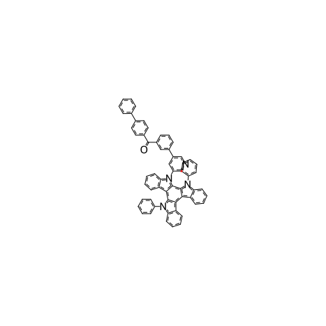 O=C(c1ccc(-c2ccccc2)cc1)c1cccc(-c2cncc(-n3c4ccccc4c4c5c(c6ccccc6n5-c5ccccc5)c5c6ccccc6n(-c6ccccc6)c5c43)c2)c1